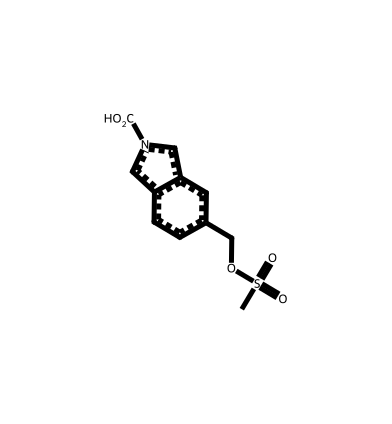 CS(=O)(=O)OCc1ccc2cn(C(=O)O)cc2c1